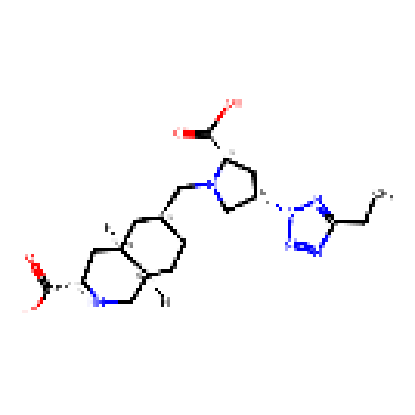 CCc1nnn([C@H]2C[C@@H](C(=O)O)N(C[C@H]3CC[C@H]4CN[C@H](C(=O)O)C[C@H]4C3)C2)n1